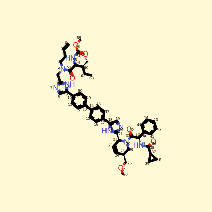 C=CCCN(Cc1ncc(-c2ccc(-c3ccc(-c4cnc([C@@H]5C#C[C@H](COC)CN5C(=O)[C@H](NC(=O)C5CC5)c5ccccc5)[nH]4)cc3)cc2)[nH]1)C(=O)C(NC(=O)OC)[C@@H](C)CC